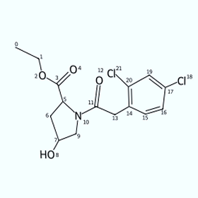 CCOC(=O)C1CC(O)CN1C(=O)Cc1ccc(Cl)cc1Cl